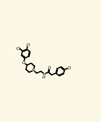 O=C(Cc1ccc(Cl)cc1)NCCN1CCC(Oc2ccc(Cl)c(Cl)c2)CC1